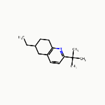 CCC1CCc2nc(C(C)(C)C)ccc2C1